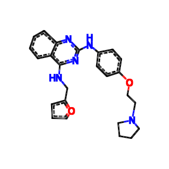 c1coc(CNc2nc(Nc3ccc(OCCN4CCCC4)cc3)nc3ccccc23)c1